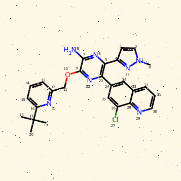 Cn1ccc(-c2nc(N)c(OCc3cccc(C(C)(C)C)n3)nc2-c2cc(Cl)c3ncccc3c2)n1